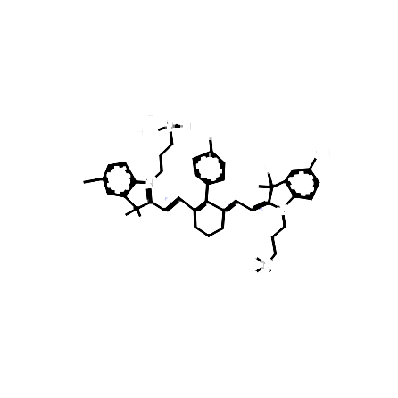 Cc1ccc(C2=C(/C=C/C3=[N+](CCC[N+](C)(C)C)c4ccc(C)cc4C3(C)C)CCC/C2=C\C=C2\N(CCC[N+](C)(C)C)c3ccc(C)cc3C2(C)C)cc1